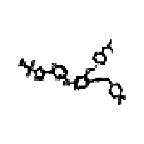 CN(C)C[C@H]1CC[C@H](COc2cc(Nc3ccnc(-c4cnn(S(=O)(=O)C5CC5)c4)n3)ncc2C#CCN2CCS(=O)(=O)CC2)CC1